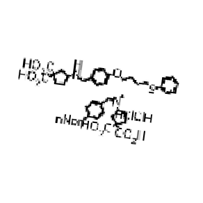 CCCCCCCCCc1ccc(CN(C)C2CCC(C(=O)O)(C(=O)O)C2)cc1.Cl.Cl.O=C(O)C1(C(=O)O)CCC(NCc2ccc(OCCCCSc3ccccc3)cc2)C1